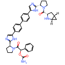 NC(=O)O[C@@H](C(=O)N1CCC[C@H]1c1ncc(-c2ccc(-c3ccc(-c4cnc([C@@H]5CCCN5C(=O)[C@@H]5C[C@@H]6C[C@@H]6N5)[nH]4)cc3)cc2)[nH]1)c1ccccc1